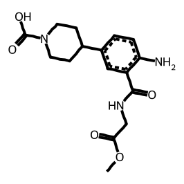 COC(=O)CNC(=O)c1cc(C2CCN(C(=O)O)CC2)ccc1N